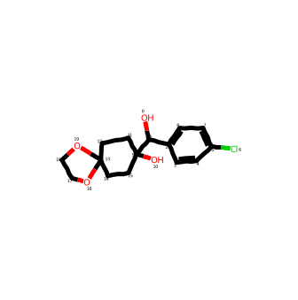 OC(c1ccc(Cl)cc1)C1(O)CCC2(CC1)OCCO2